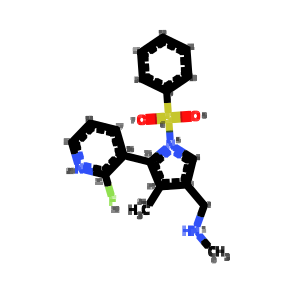 CNCc1cn(S(=O)(=O)c2ccccc2)c(-c2cccnc2F)c1C